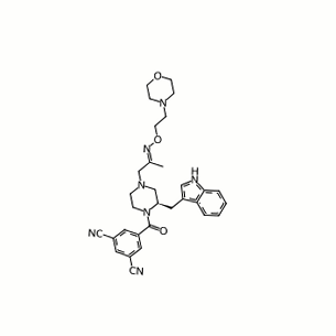 C/C(CN1CCN(C(=O)c2cc(C#N)cc(C#N)c2)[C@H](Cc2c[nH]c3ccccc23)C1)=N\OCCN1CCOCC1